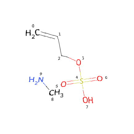 C=CCOS(=O)(=O)O.CN